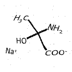 CC(N)(O)C(=O)[O-].[Na+]